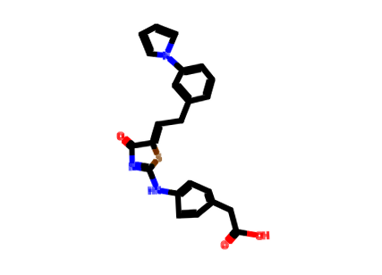 O=C(O)Cc1ccc(NC2=NC(=O)C(=CCc3cccc(-n4cccc4)c3)S2)cc1